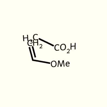 C=COC.CC(=O)O